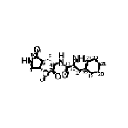 COC(=O)[C@H](C[C@@H]1CCNC1=O)NC(=O)[C@@H](N)CC1CCCCC1